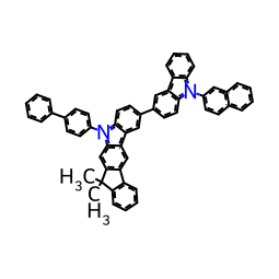 CC1(C)c2ccccc2-c2cc3c4cc(-c5ccc6c(c5)c5ccccc5n6-c5ccc6ccccc6c5)ccc4n(-c4ccc(-c5ccccc5)cc4)c3cc21